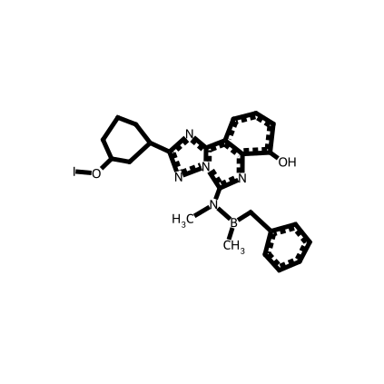 CB(Cc1ccccc1)N(C)c1nc2c(O)cccc2c2nc(C3CCCC(OI)C3)nn12